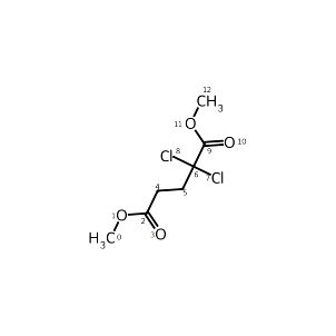 COC(=O)CCC(Cl)(Cl)C(=O)OC